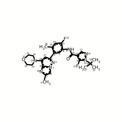 Cc1cn2nc(-c3cc(NC(=O)c4cnn(C(C)(C)C)c4F)c(F)cc3C)cc(N3CCOCC3)c2n1